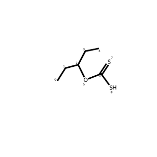 CCC(CC)OC(=S)S